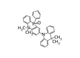 CC1(C)c2ccccc2N(c2ccc3c(c2)P(=O)(c2ccccc2)c2ccccc2[Si]3(C)C)c2ccccc21